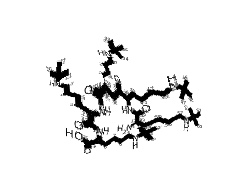 CC(C)(C)NCCCCC(NC(=O)C(CCCCNC(C)(C)C)NC(=O)[C@H](CCCCNC(C)(C)C)CC(=O)C(CCCCNC(C)(C)C)NC(=O)[C@H](N)CCCCNC(C)(C)C)C(=O)O